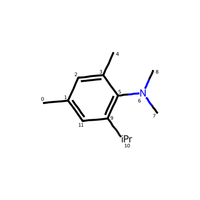 Cc1cc(C)c(N(C)C)c(C(C)C)c1